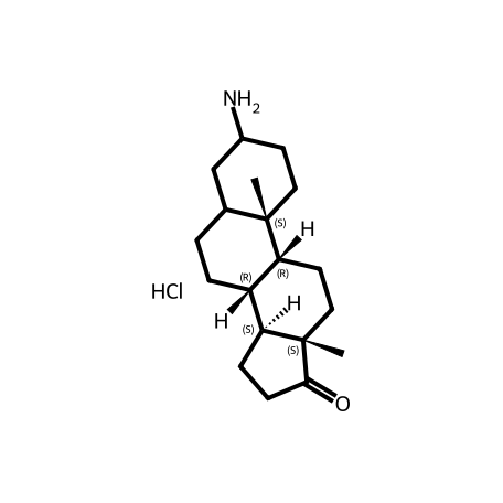 C[C@]12CCC(N)CC1CC[C@@H]1[C@H]2CC[C@]2(C)C(=O)CC[C@@H]12.Cl